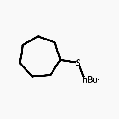 CCC[CH]SC1CCCCCC1